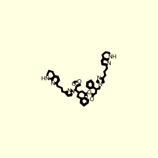 O=C(CC(Cn1cnc(CCCc2ccc3c(n2)NCCC3)c1)c1ccccc1)OC(=O)CC(Cc1ccccc1)C(C1=COCO1)n1ccc(CCCc2ccc3c(n2)NCCC3)n1